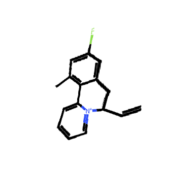 C=CC1Cc2cc(F)cc(C)c2-c2cccc[n+]21